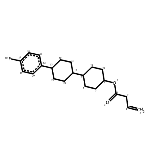 C=CCC(=O)OC1CCC(C2CCC(c3ccc(F)cc3)CC2)CC1